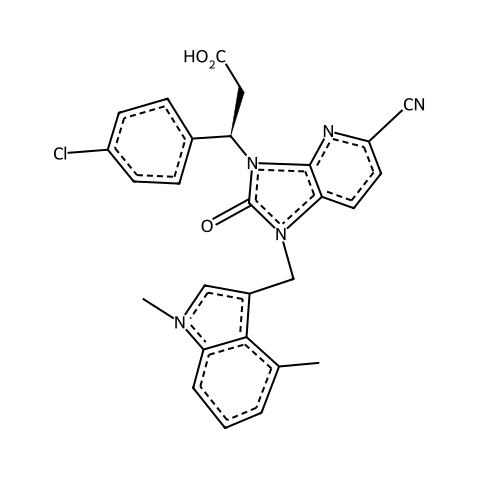 Cc1cccc2c1c(Cn1c(=O)n([C@H](CC(=O)O)c3ccc(Cl)cc3)c3nc(C#N)ccc31)cn2C